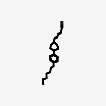 CCCCCCCc1ccc(C2CCC(C=CC=CC#N)CC2)cc1